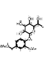 CNc1cc(COC)ccc1OC1OC(C(C)O)C(O)C(O)C1O